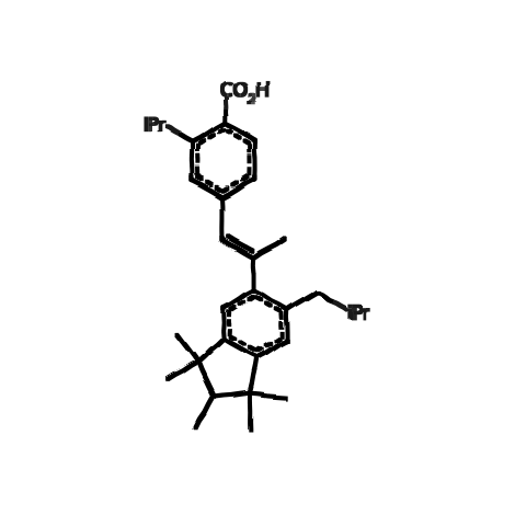 CC(=Cc1ccc(C(=O)O)c(C(C)C)c1)c1cc2c(cc1CC(C)C)C(C)(C)C(C)C2(C)C